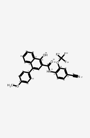 COc1ccc(-c2cc(C(=O)Nc3ccc(C#N)cc3OC(F)(F)F)c(O)c3ccccc23)cc1